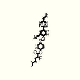 CCCC[C@H](F)C(=O)O[C@H]1CC[C@H](COc2ccc(-c3ncc(CCC)cn3)cc2C#N)CC1